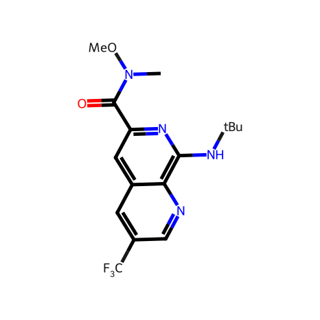 CON(C)C(=O)c1cc2cc(C(F)(F)F)cnc2c(NC(C)(C)C)n1